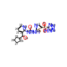 O=C(Nc1ncc(S(=O)(=O)c2nnn[nH]2)s1)Nc1ncccc1C(=O)C1CCCC1